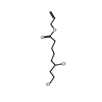 C=CCOC(=O)CCCCC(Cl)CCCl